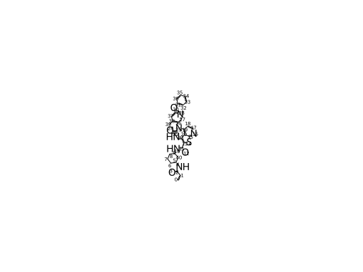 C=CC(=O)NC1CCCC(NC(=O)c2sc3nccc4c3c2NC(=O)N4c2cnc(Oc3ccccc3)cc2C)C1